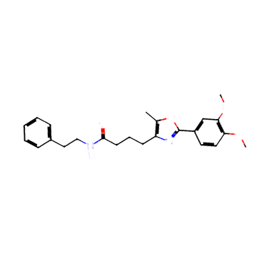 COc1ccc(-c2nc(CCCC(=O)NCCc3ccccc3)c(C)o2)cc1OC